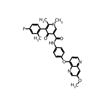 COc1cnc2c(Oc3ccc(NC(=O)c4cn(C)c(C)c(-c5ccc(F)cc5C)c4=O)cc3)ccnc2c1